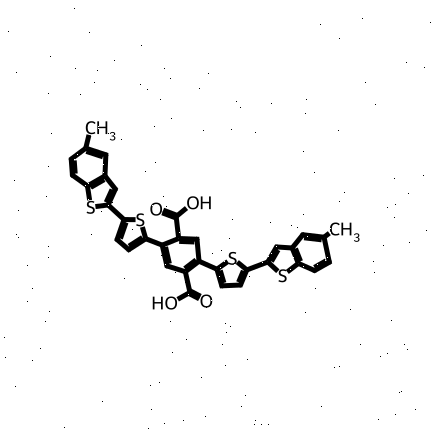 Cc1ccc2sc(-c3ccc(-c4cc(C(=O)O)c(-c5ccc(-c6cc7cc(C)ccc7s6)s5)cc4C(=O)O)s3)cc2c1